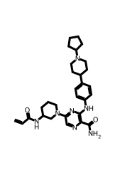 C=CC(=O)NC1CCCN(c2cnc(C(N)=O)c(Nc3ccc(C4CCN(C5CCCC5)CC4)cc3)n2)C1